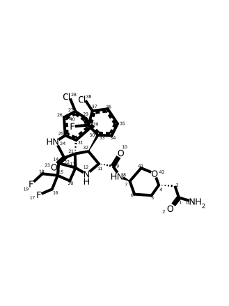 NC(=O)C[C@@H]1CC[C@@H](NC(=O)[C@@H]2NC3(CC(CF)(CF)C3)[C@@]3(C(=O)Nc4cc(Cl)ccc43)[C@H]2c2cccc(Cl)c2F)CO1